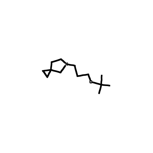 CC(C)(C)OCCCN1CCC2(CC2)C1